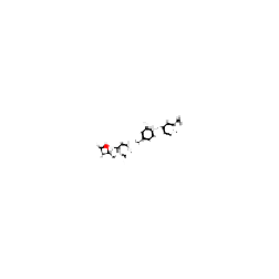 O=c1nc(OCc2ccc(Oc3ccnc(C(F)(F)F)c3)c(F)c2)cc2n1CC13CC(F)(CN21)C3